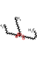 CCCCC/C=C\C/C=C\CCCCCCCC(=O)OC[C@H](COC(=O)CCCCCCC/C=C\CCCCCC)OC(=O)CCCCCCCCCCCCC